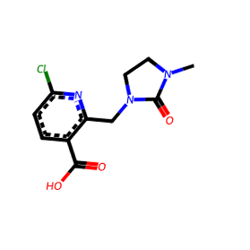 CN1CCN(Cc2nc(Cl)ccc2C(=O)O)C1=O